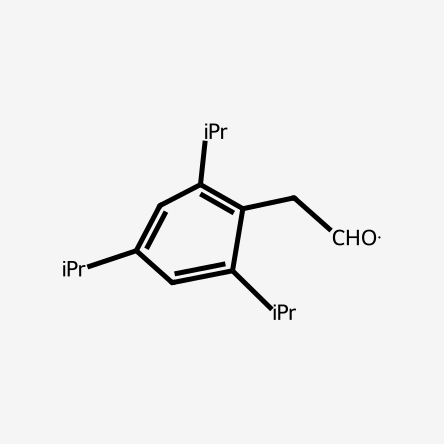 CC(C)c1cc(C(C)C)c(C[C]=O)c(C(C)C)c1